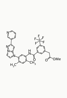 COC(=O)Cc1cc(C(=O)Nc2cc(-n3ccn4nc(-c5cccnc5)cc34)c(C)cc2C)cc(S(F)(F)(F)(F)F)c1